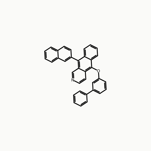 c1ccc(-c2cccc(Oc3c4ccccc4c(-c4ccc5ccccc5c4)c4cnccc34)c2)cc1